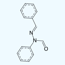 O=CN(N=Cc1ccccc1)c1ccccc1